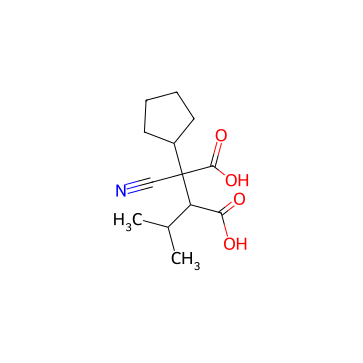 CC(C)C(C(=O)O)C(C#N)(C(=O)O)C1CCCC1